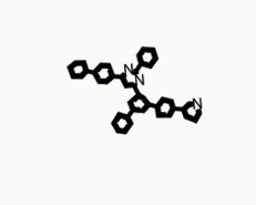 c1ccc(-c2ccc(-c3cc(-c4cc(-c5ccccc5)cc(-c5ccc(-c6cccnc6)cc5)c4)nc(-c4ccccc4)n3)cc2)cc1